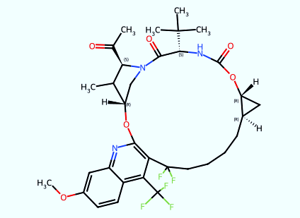 COc1ccc2c(C(F)(F)F)c3c(nc2c1)O[C@H]1CN(C(=O)[C@H](C(C)(C)C)NC(=O)O[C@@H]2C[C@H]2CCCCC3(F)F)[C@H](C(C)=O)C1C